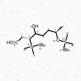 C[C@H](CCC(O)[C@@H](CC(=O)O)[Si](C)(C)C(C)(C)C)O[Si](C)(C)C(C)(C)C